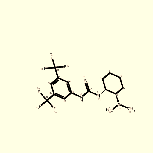 CN(C)[C@@H]1CCCC[C@H]1NC(=S)Nc1cc(C(F)(F)F)cc(C(F)(F)F)c1